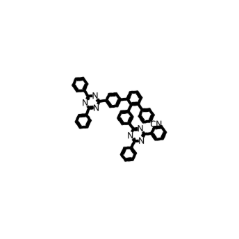 N#Cc1ccc(-c2cccc(-c3ccc(-c4nc(-c5ccccc5)nc(-c5ccccc5)n4)cc3)c2-c2cccc(-c3nc(-c4ccccc4)nc(-c4ccccc4)n3)c2)cc1